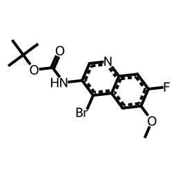 COc1cc2c(Br)c(NC(=O)OC(C)(C)C)cnc2cc1F